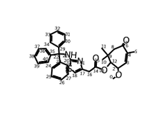 COC1C=C(C)C(=O)CC(C)(C)C1OC(=O)Cc1csc(NC(c2ccccc2)(c2ccccc2)c2ccccc2)n1